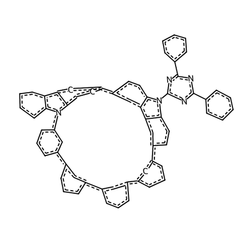 c1ccc(-c2nc(-c3ccccc3)nc(-n3c4ccc5cc4c4cc(ccc43)c3ccc4c(c3)c3ccccc3n4c3cccc(c3)c3cccc(c3)c3cccc(c3)c3cccc5c3)n2)cc1